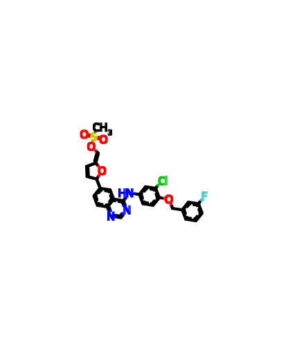 CS(=O)(=O)O/C=C1\C=CC(c2ccc3ncnc(Nc4ccc(OCc5cccc(F)c5)c(Cl)c4)c3c2)O1